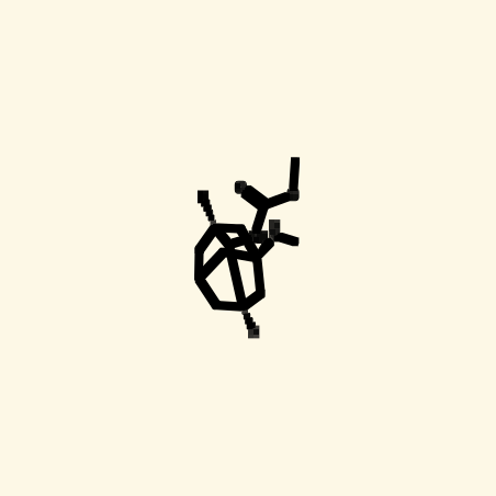 CN[C@]12CC3C[C@H](C1)C(NC(=O)OC)[C@@H](C3)C2